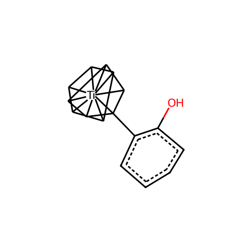 Oc1ccccc1[C]12[CH]3[CH]4[CH]5[CH]1[Ti]45321678[CH]2[CH]1[CH]6[CH]7[CH]28